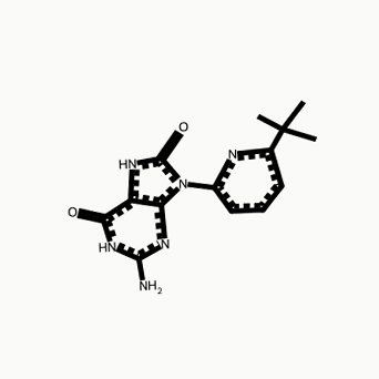 CC(C)(C)c1cccc(-n2c(=O)[nH]c3c(=O)[nH]c(N)nc32)n1